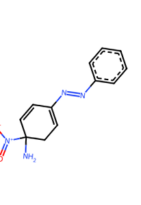 NC1([N+](=O)[O-])C=CC(N=Nc2ccccc2)=CC1